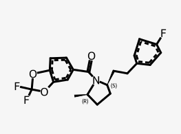 C[C@@H]1CC[C@H](CCc2ccc(F)cc2)N1C(=O)c1ccc2c(c1)OC(F)(F)O2